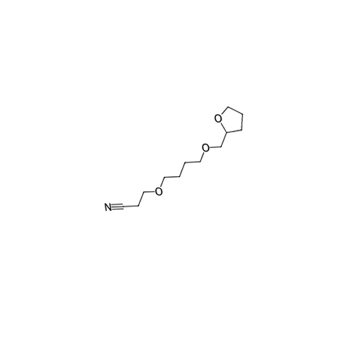 N#CCCOCCCCOCC1CCCO1